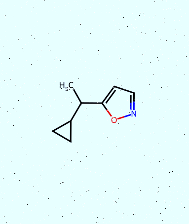 C[C](c1ccno1)C1CC1